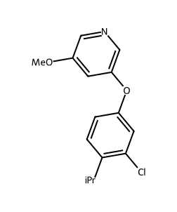 COc1cncc(Oc2ccc(C(C)C)c(Cl)c2)c1